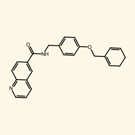 O=C(NCc1ccc(OCC2=CCCC=C2)cc1)c1ccc2ncccc2c1